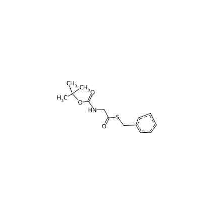 CC(C)(C)OC(=O)NCC(=O)SCc1ccccc1